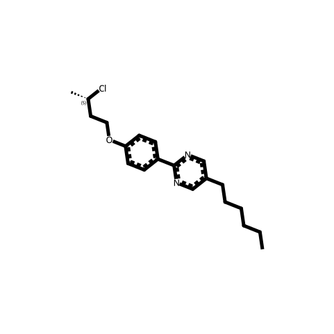 CCCCCCc1cnc(-c2ccc(OCC[C@H](C)Cl)cc2)nc1